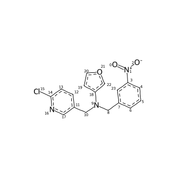 O=[N+]([O-])c1cccc(CN(Cc2ccc(Cl)nc2)c2ccoc2)c1